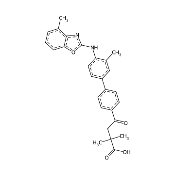 Cc1cc(-c2ccc(C(=O)CC(C)(C)C(=O)O)cc2)ccc1Nc1nc2c(C)cccc2o1